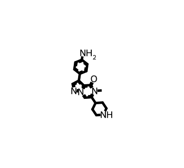 Cn1c(C2CCNCC2)cn2ncc(-c3ccc(N)cc3)c2c1=O